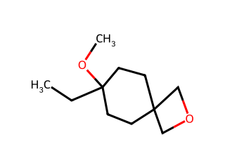 CCC1(OC)CCC2(CC1)COC2